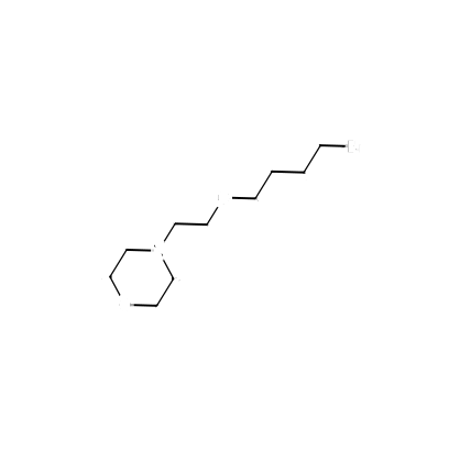 BrCCCCOCCN1CCOCC1